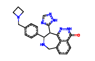 O=c1[nH]nc2c3c(cccc13)CNC(c1ccc(CN3CCC3)cc1)C2c1ncn[nH]1